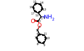 N[C@@H](C(=O)OCc1ccccc1)c1ccccc1